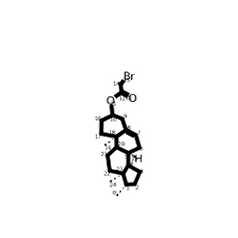 C[C@H]1CCC2[C@@H]3CC=C4CC(OC(=O)CBr)CC[C@]4(C)C3CC[C@@]21C